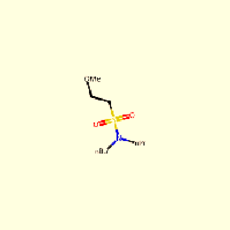 CCCCN(CCC)S(=O)(=O)CCOC